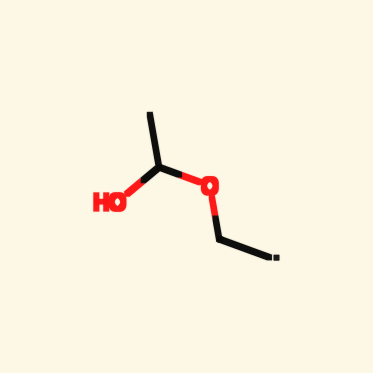 [CH2]COC(C)O